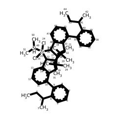 CCC(C)c1ccccc1-c1cccc2c1C=C(C(C)(C)C)[CH]2[Zr]([Cl])([Cl])([CH]1C(C(C)(C)C)=Cc2c(-c3ccccc3C(C)CC)cccc21)[SiH](C)C